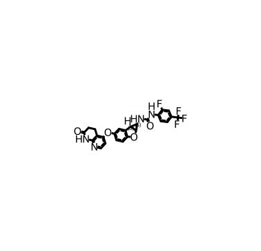 O=C1CCc2c(Oc3ccc4c(c3)[C@@H]3C(O4)[C@H]3NC(=O)Nc3ccc(C(F)(F)F)cc3F)ccnc2N1